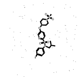 CC(C)CN(c1ccc(F)cc1)S(=O)(=O)c1ccc(OC2CCN(S(C)(=O)=O)CC2)cn1